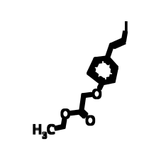 CCOC(=O)COc1ccc(C=CI)cc1